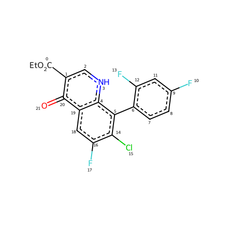 CCOC(=O)c1c[nH]c2c(-c3ccc(F)cc3F)c(Cl)c(F)cc2c1=O